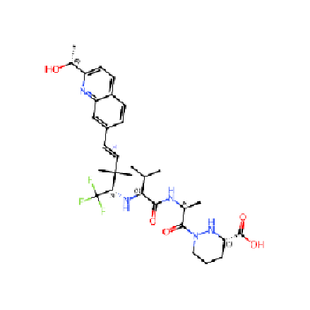 CC(C)[C@H](N[C@H](C(F)(F)F)C(C)(C)/C=C/c1ccc2ccc([C@@H](C)O)nc2c1)C(=O)N[C@@H](C)C(=O)N1CCC[C@@H](C(=O)O)N1